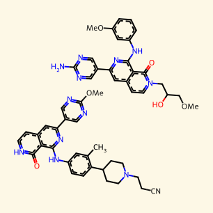 COCC(O)Cn1ccc2cc(-c3cnc(N)nc3)nc(Nc3cccc(OC)c3)c2c1=O.COc1ncc(-c2cc3cc[nH]c(=O)c3c(Nc3ccc(C4CCN(CCC#N)CC4)c(C)c3)n2)cn1